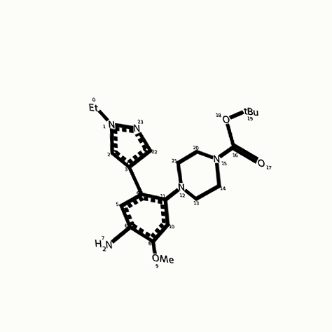 CCn1cc(-c2cc(N)c(OC)cc2N2CCN(C(=O)OC(C)(C)C)CC2)cn1